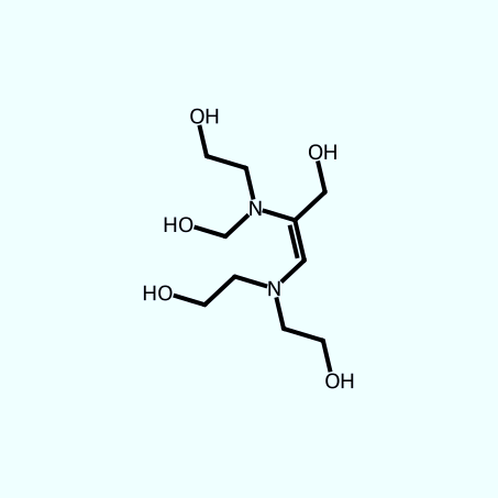 OCCN(C=C(CO)N(CO)CCO)CCO